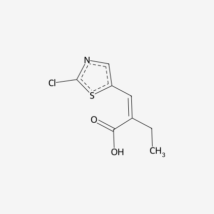 CCC(=Cc1cnc(Cl)s1)C(=O)O